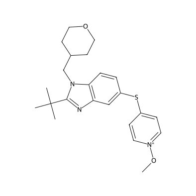 CO[n+]1ccc(Sc2ccc3c(c2)nc(C(C)(C)C)n3CC2CCOCC2)cc1